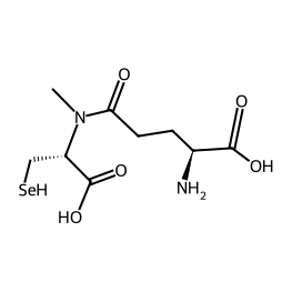 CN(C(=O)CC[C@H](N)C(=O)O)[C@@H](C[SeH])C(=O)O